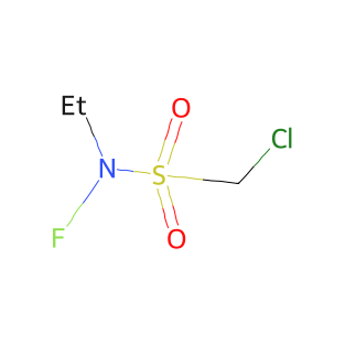 CCN(F)S(=O)(=O)CCl